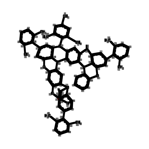 Cc1cc(C)c(N2c3cc4c(cc3B3c5cc6c(cc5Oc5cc(-c7c(C)cccc7C)cc2c53)Oc2cc(-c3c(C)cccc3C)cc3c2B6c2ccccc2O3)B2c3ccccc3Oc3cc(-c5c(C)cccc5C)cc(c32)N4)c(C)c1